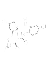 Bc1cc(C)ccc1NC(=O)C1C(=O)N(C)CC1c1cccc(C)c1